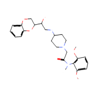 CCOc1cccc(OCC)c1N(C)C(=O)CN1CCC(NCC(O)C2COc3ccccc3O2)CC1